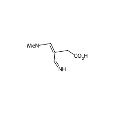 CN/C=C(\C=N)CC(=O)O